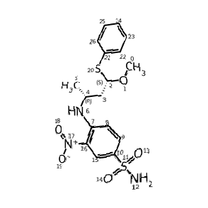 CO[C@H](C[C@@H](C)Nc1ccc(S(N)(=O)=O)cc1[N+](=O)[O-])Sc1ccccc1